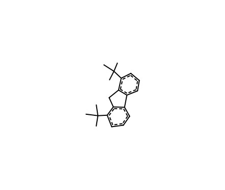 CC(C)(C)c1cccc2c1Cc1c-2cccc1C(C)(C)C